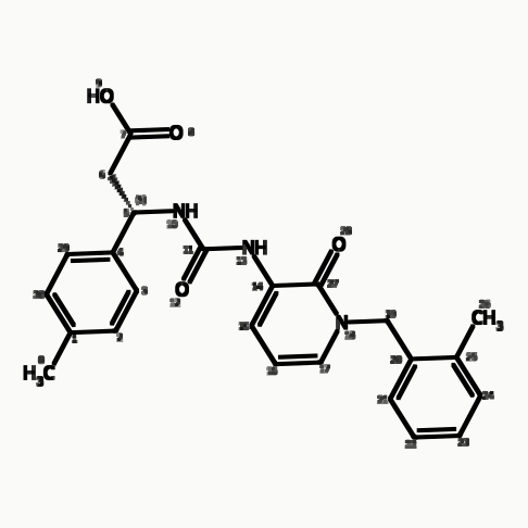 Cc1ccc([C@H](CC(=O)O)NC(=O)Nc2cccn(Cc3ccccc3C)c2=O)cc1